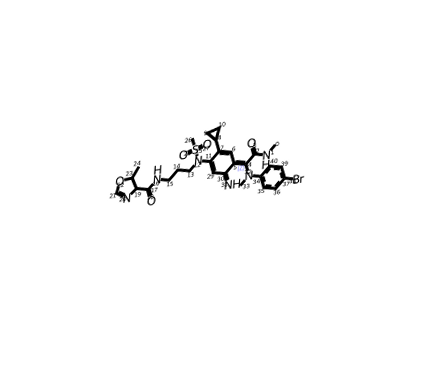 CNC(=O)/C(=C1\C=C(C2CC2)C(N(CCCNC(=O)C2N=COC2C)S(C)(=O)=O)=CC1=N)N(C)c1ccc(Br)cc1